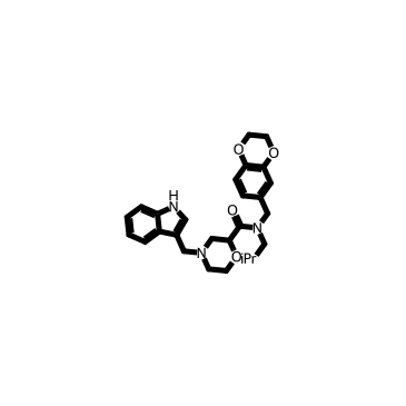 CC(C)CN(Cc1ccc2c(c1)OCCO2)C(=O)C1CN(Cc2c[nH]c3ccccc23)CCO1